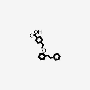 O=C(O)c1ccc(CCOc2ccccc2CCc2ccccc2)cc1